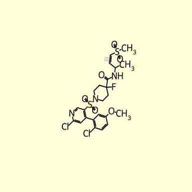 COc1ccc(Cl)c(-c2cc(Cl)ncc2S(=O)(=O)N2CCC(F)(C(=O)NC(C)/C=C\S(C)(=O)=O)CC2)c1